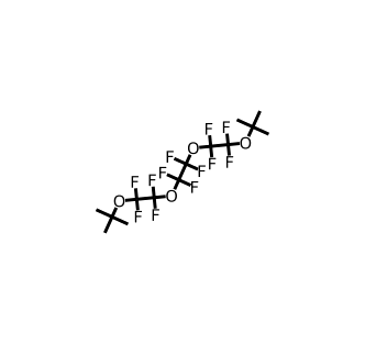 CC(C)(C)OC(F)(F)C(F)(F)OC(F)(F)C(F)(F)OC(F)(F)C(F)(F)OC(C)(C)C